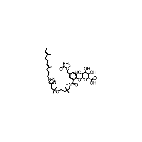 BC(=O)OCc1ccc(O[C@@H]2O[C@H](C(=O)O)[C@@H](O)[C@H](O)[C@H]2O)c(C(=O)NCC(C)(C)CCOC(C)(C)Cc2cn(CCC/C(C)=C/CC/C(C)=C/C)nn2)c1